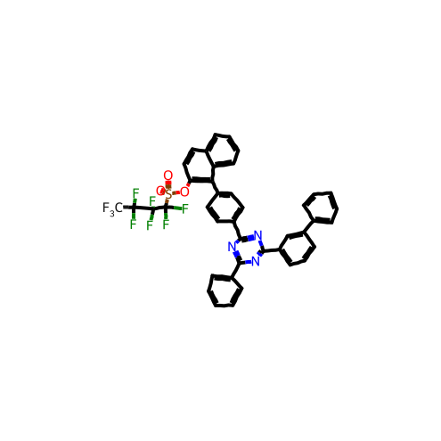 O=S(=O)(Oc1ccc2ccccc2c1-c1ccc(-c2nc(-c3ccccc3)nc(-c3cccc(-c4ccccc4)c3)n2)cc1)C(F)(F)C(F)(F)C(F)(F)C(F)(F)F